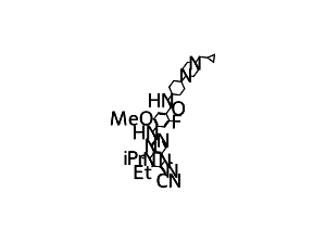 CCC1c2c(C#N)ncn2-c2cnc(Nc3cc(F)c(C(=O)NC4CCC(N5CCN(CC6CC6)CC5)CC4)cc3OC)nc2N1C(C)C